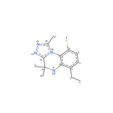 CCc1ccc(F)c2c1NC(C)(C)c1nnc(C)n1-2